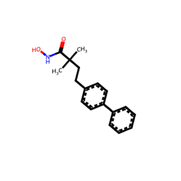 CC(C)(CCc1ccc(-c2ccccc2)cc1)C(=O)NO